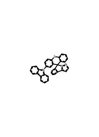 c1ccc2c(c1)Sc1ccc(-n3c4ccccc4c4ccccc43)cc1C21c2ccccc2-c2ccnn21